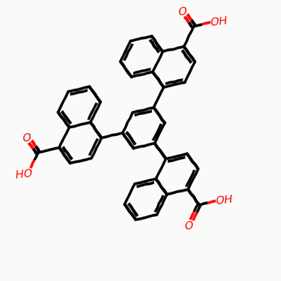 O=C(O)c1ccc(-c2cc(-c3ccc(C(=O)O)c4ccccc34)cc(-c3ccc(C(=O)O)c4ccccc34)c2)c2ccccc12